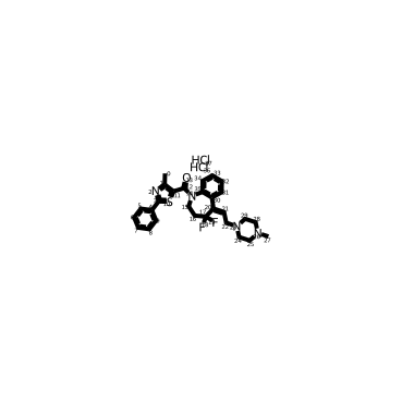 Cc1nc(-c2ccccc2)sc1C(=O)N1CCC(F)(F)C(=CCN2CCN(C)CC2)c2ccccc21.Cl.Cl